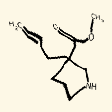 C=CCC1(C(=O)OC)CCNC1